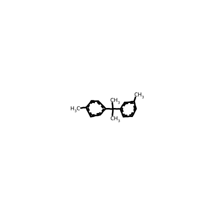 Cc1ccc(C(C)(C)c2cccc(C)c2)cc1